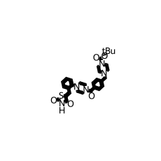 CC(C)(C)OC(=O)N1CCN(Cc2ccc(C(=O)N3CCN(c4ccccc4/C=C4\SC(=O)NC4=O)CC3)cc2)CC1